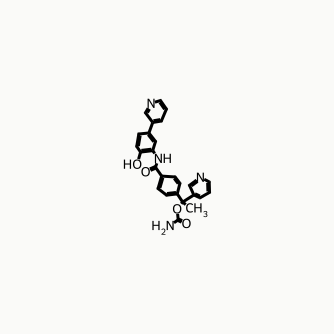 CC(OC(N)=O)(c1ccc(C(=O)Nc2cc(-c3cccnc3)ccc2O)cc1)c1cccnc1